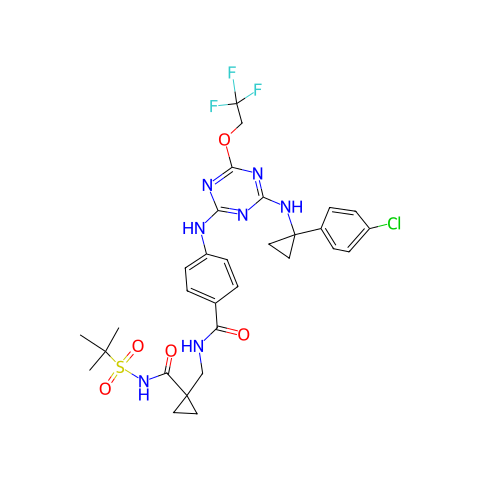 CC(C)(C)S(=O)(=O)NC(=O)C1(CNC(=O)c2ccc(Nc3nc(NC4(c5ccc(Cl)cc5)CC4)nc(OCC(F)(F)F)n3)cc2)CC1